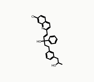 CC(O)Cc1cccc(CCC(O)(C=Cc2ccc3ccc(Cl)cc3n2)c2ccccc2)c1